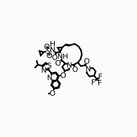 COc1ccc2c(OC3CC4C(=O)NC5(C(=O)NS(=O)(=O)C6CC6)CC5/C=C/CCCCCC(CC(=O)N5CCC(C(F)(F)F)CC5)C(=O)N4C3)cc(-c3nc(C(C)C)cs3)nc2c1